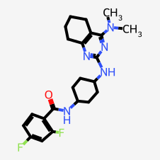 CN(C)c1nc(NC2CCC(NC(=O)c3ccc(F)cc3F)CC2)nc2c1CCCC2